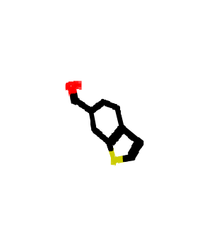 OCC1CCc2ccsc2C1